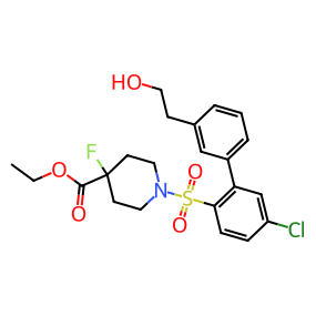 CCOC(=O)C1(F)CCN(S(=O)(=O)c2ccc(Cl)cc2-c2cccc(CCO)c2)CC1